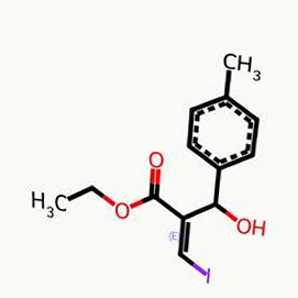 CCOC(=O)/C(=C/I)C(O)c1ccc(C)cc1